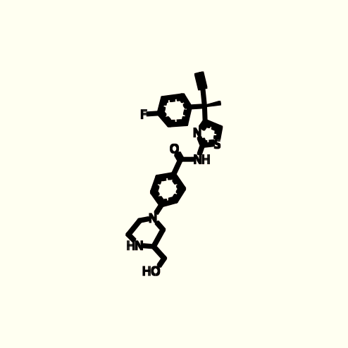 C#C[C@@](C)(c1ccc(F)cc1)c1csc(NC(=O)c2ccc(N3CCNC(CO)C3)cc2)n1